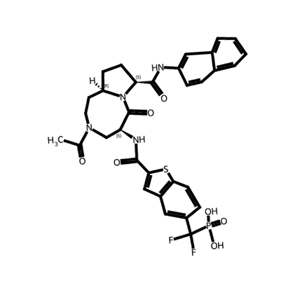 CC(=O)N1CC[C@H]2CC[C@@H](C(=O)Nc3ccc4ccccc4c3)N2C(=O)[C@@H](NC(=O)c2cc3cc(C(F)(F)P(=O)(O)O)ccc3s2)C1